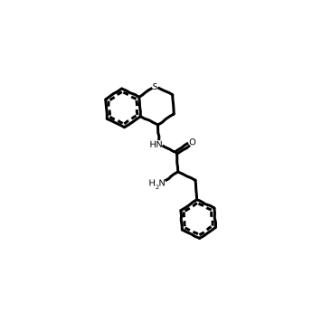 NC(Cc1ccccc1)C(=O)NC1CCSc2ccccc21